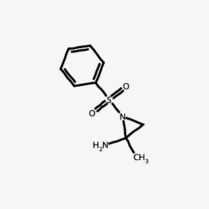 CC1(N)CN1S(=O)(=O)c1ccccc1